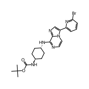 CC(C)(C)OC(=O)N[C@H]1CC[C@H](Nc2nccn3c(-c4cccc(Br)n4)cnc23)CC1